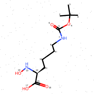 CC(C)(C)OC(=O)NCCCC[C@H](NO)C(=O)O